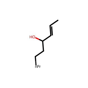 CC=CC(O)CCCCC